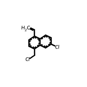 C=Cc1ccc(CCl)c2cc(Cl)ccc12